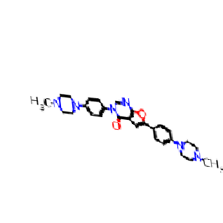 CN1CCN(c2ccc(-c3cc4c(=O)n(-c5ccc(N6CCN(C)CC6)cc5)cnc4o3)cc2)CC1